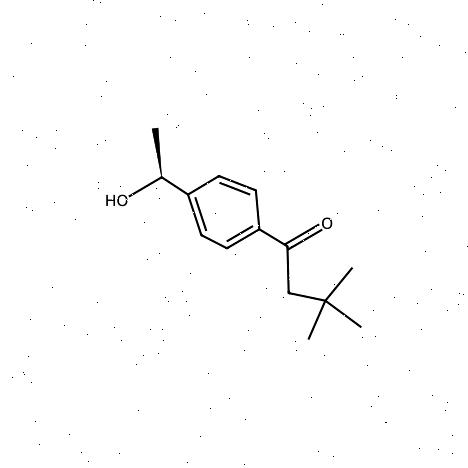 C[C@H](O)c1ccc(C(=O)CC(C)(C)C)cc1